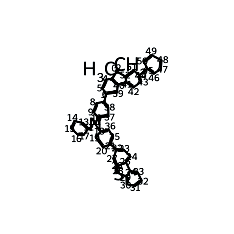 CC1(C)c2ccc(-c3ccc(N(c4ccccc4)c4ccc(-c5ccc6c(c5)sc5ccccc56)cc4)cc3)cc2-c2ccc(-c3ccccc3)cc21